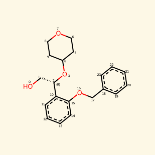 OC[C@H](OC1CCOCC1)c1ccccc1OCc1ccccc1